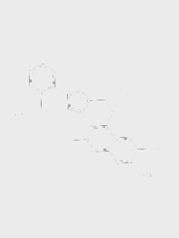 COc1cc2nc(C)nc(NC(C)c3ccc(-c4ccc(F)cc4CNC(C)=O)s3)c2cc1OC